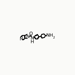 NC1CC=C(c2ccc(NC(=O)N3Cc4ccncc4C3)cc2)CC1